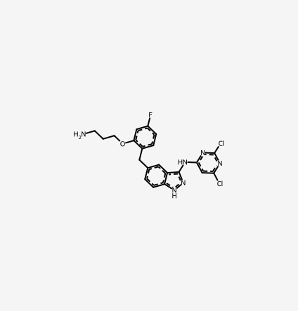 NCCCOc1cc(F)ccc1Cc1ccc2[nH]nc(Nc3cc(Cl)nc(Cl)n3)c2c1